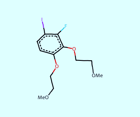 COCCOc1ccc(I)c(F)c1OCCOC